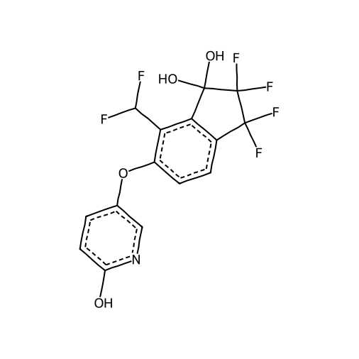 Oc1ccc(Oc2ccc3c(c2C(F)F)C(O)(O)C(F)(F)C3(F)F)cn1